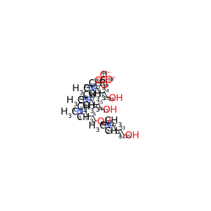 C[N+](C)(C)CCCCO.C[N+](C)(C)CCCCO.C[N+](C)(C)CCCCO.C[N+](C)(C)CCCCO.[O-][Si]([O-])([O-])[O-]